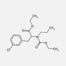 CCCN(C(=O)OCC)C(Cc1cccc(Cl)c1)C(=O)OCC